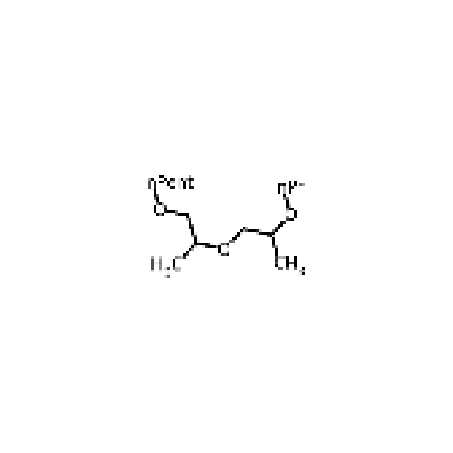 C[CH]COC(C)COC(C)COCCCCC